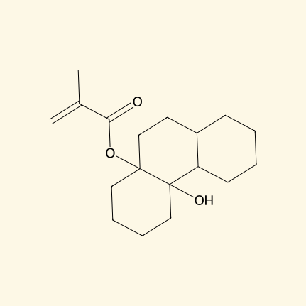 C=C(C)C(=O)OC12CCCCC1(O)C1CCCCC1CC2